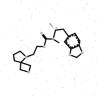 C[C@H](Cc1ccc2c(c1)OCO2)N(C)C(=O)OCCN1CCCC12COC2